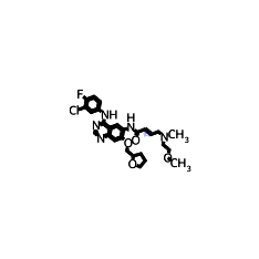 COCCN(C)C/C=C/C(=O)Nc1cc2c(Nc3ccc(F)c(Cl)c3)ncnc2cc1OCC1CCCO1